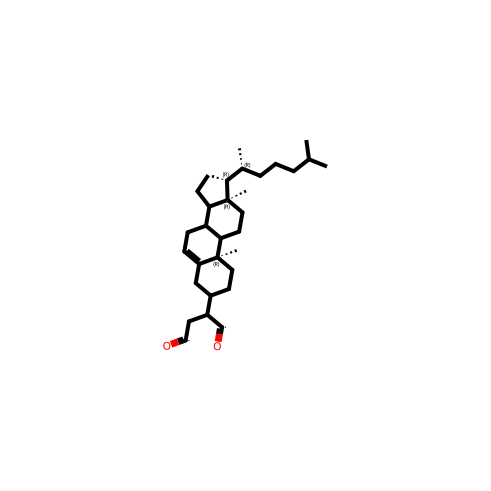 CC(C)CCC[C@@H](C)[C@H]1CCC2C3CC=C4CC(C([C]=O)C[C]=O)CC[C@]4(C)C3CC[C@@]21C